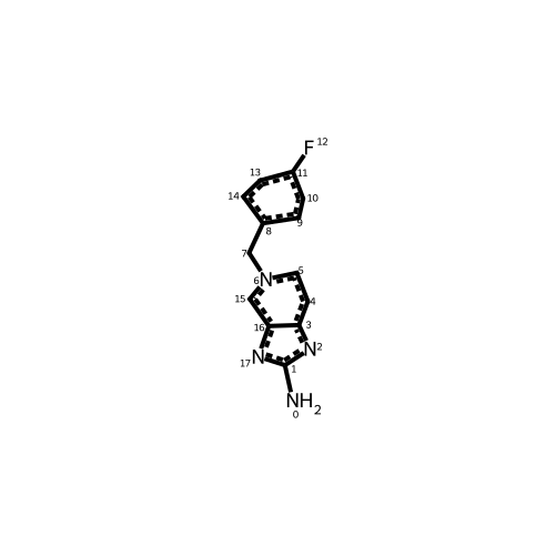 Nc1nc2ccn(Cc3ccc(F)cc3)cc-2n1